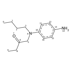 CCCCN(CC(=O)CC)c1ccc(N)cc1